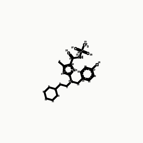 Cc1sc(N(CCC2CCCCC2)Cc2ccc(Cl)cc2)nc1C(=O)NS(=O)(=O)C(F)(F)F